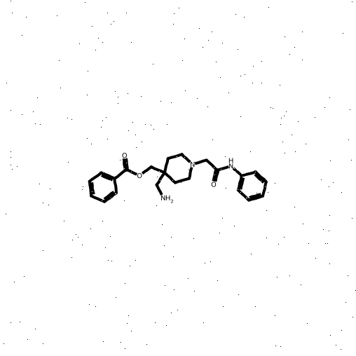 NCC1(COC(=O)c2ccccc2)CCN(CC(=O)Nc2ccccc2)CC1